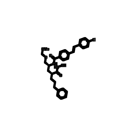 COCOC[C@H](C[C@H](CCCc1ccccc1)C(=O)NO)NC(=O)c1ccc(/C=C/c2ccc(Cl)cc2)cc1